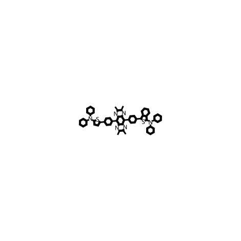 Cc1nc2c(-c3ccc(-c4ccc(N(c5ccccc5)c5ccccc5)s4)cc3)c3nc(C)c(C)nc3c(-c3ccc(-c4sc(N(c5ccccc5)c5ccccc5)c5ccccc45)cc3)c2nc1C